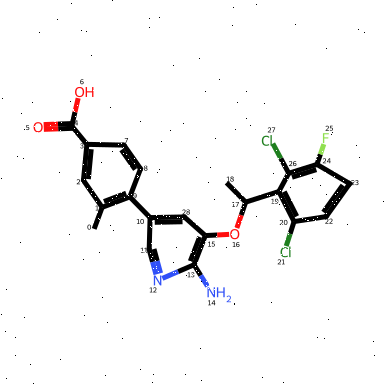 Cc1cc(C(=O)O)ccc1-c1cnc(N)c(OC(C)c2c(Cl)ccc(F)c2Cl)c1